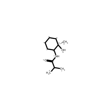 CC(C)C(=O)NC1CCCC[C@@]1(C)O